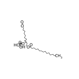 CCCCCCCCCCCCCCC(=O)O[C@H](COP(=O)(O)O)CSCCCCCCCOC=O